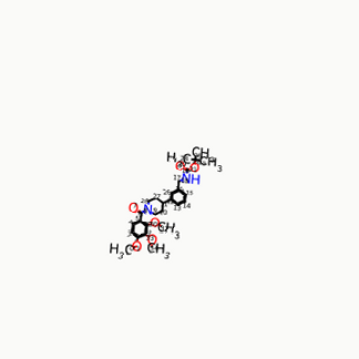 COc1ccc(C(=O)N2CCC(c3cccc(CNC(=O)OC(C)(C)C)c3)CC2)c(OC)c1OC